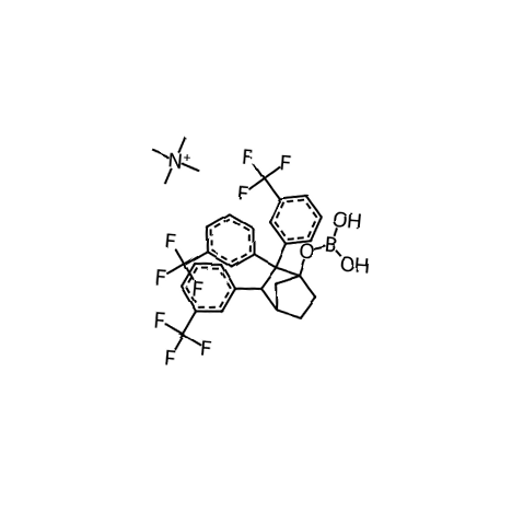 C[N+](C)(C)C.OB(O)OC12CCC(C1)C(c1cccc(C(F)(F)F)c1)C2(c1cccc(C(F)(F)F)c1)c1cccc(C(F)(F)F)c1